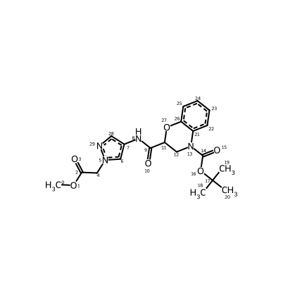 COC(=O)Cn1cc(NC(=O)C2CN(C(=O)OC(C)(C)C)c3ccccc3O2)cn1